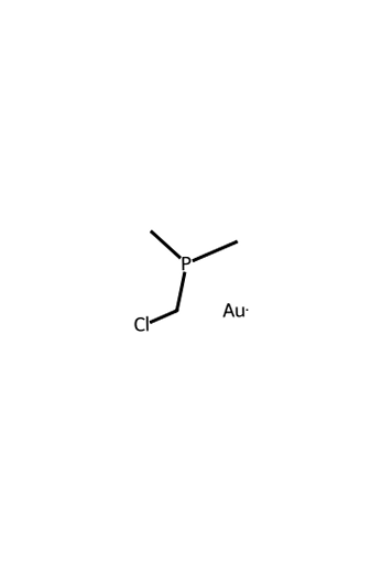 CP(C)CCl.[Au]